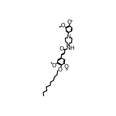 CCCCCCCCCCOc1c(OC)cc(C=CC(=O)NN2CCN(c3ccc(OC)c(OC)c3)CC2)cc1OC